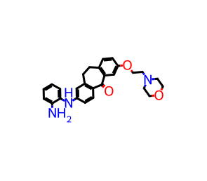 Nc1ccccc1Nc1ccc2c(c1)CCc1ccc(OCCN3CCOCC3)cc1C2=O